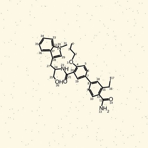 CCCOc1ccc(-c2ccc(C(N)=O)c(CI)c2)cc1C(=O)NC(CO)Cc1cn(C)c2ccccc12